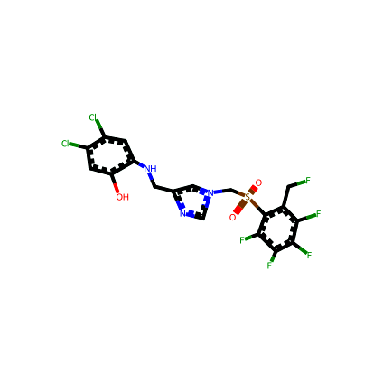 O=S(=O)(Cn1cnc(CNc2cc(Cl)c(Cl)cc2O)c1)c1c(F)c(F)c(F)c(F)c1CF